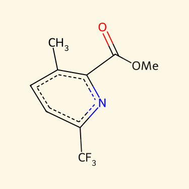 COC(=O)c1nc(C(F)(F)F)ccc1C